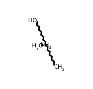 CCCCCCCCCCCCCCCCCCCO.N.O